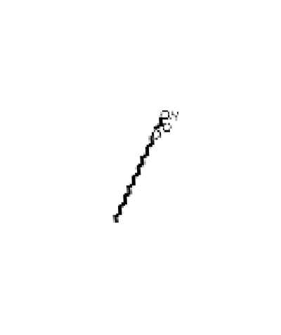 CCCCCCCCCCCCCCCCCCOCC(=O)CO